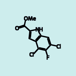 COC(=O)c1cc2c(Cl)c(F)c(Cl)cc2[nH]1